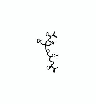 C=C(C)C(=O)OCC(O)COCC(CBr)(CBr)COC(=O)C(=C)C